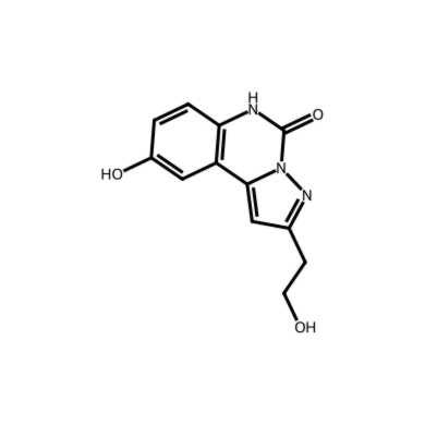 O=c1[nH]c2ccc(O)cc2c2cc(CCO)nn12